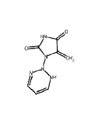 C=C1C(=O)NC(=O)N1N1N=CC=CN1